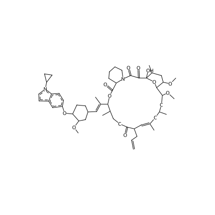 C=CCC1/C=C(\C)CC(C)CC(OC)C2OC(O)(C(=O)C(=O)N3CCCCC3C(=O)OC(C(C)=CC3CCC(Oc4ccc5c(ccn5C5CC5)c4)C(OC)C3)C(C)CCC1=O)C(C)CC2OC